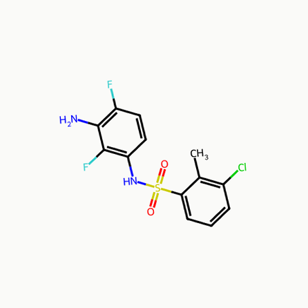 Cc1c(Cl)cccc1S(=O)(=O)Nc1ccc(F)c(N)c1F